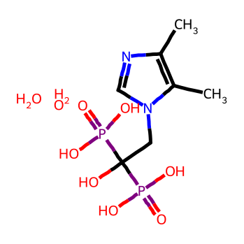 Cc1ncn(CC(O)(P(=O)(O)O)P(=O)(O)O)c1C.O.O